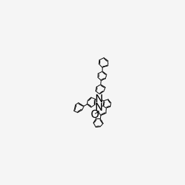 c1ccc(-c2ccc(-c3ccc(N(c4ccc(-c5ccccc5)cc4)c4cccc5cc6c(nc45)oc4ccccc46)cc3)cc2)cc1